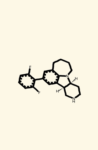 Fc1cccc(F)c1-c1cc2c3c(c1)[C@@H]1CNCC[C@@H]1N3CCCC2